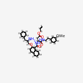 C=CCOC(=O)C[C@H](NC(=O)c1c(OC[C@H](N)Cc2ccccc2)ccc2ccccc12)C(=O)NCCc1cccc(OC)c1